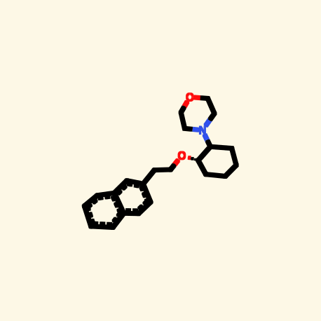 c1ccc2cc(CCO[C@H]3CCCCC3N3CCOCC3)ccc2c1